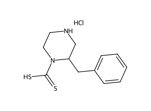 Cl.S=C(S)N1CCNCC1Cc1ccccc1